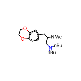 CCCCN(CCCC)CC(Cc1ccc2c(c1)OCCO2)NC